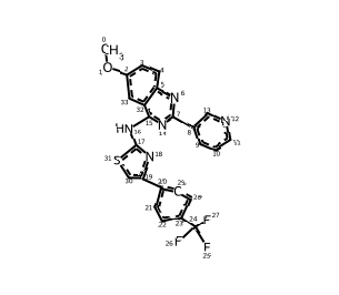 COc1ccc2nc(-c3cccnc3)nc(Nc3nc(-c4ccc(C(F)(F)F)cc4)cs3)c2c1